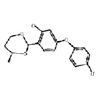 C[C@H]1CCO[C@@H](c2ccc(Oc3ccc(Cl)cc3)cc2Cl)O1